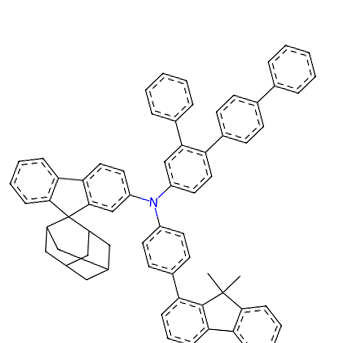 CC1(C)c2ccccc2-c2cccc(-c3ccc(N(c4ccc(-c5ccc(-c6ccccc6)cc5)c(-c5ccccc5)c4)c4ccc5c(c4)C4(c6ccccc6-5)C5CC6CC(C5)CC4C6)cc3)c21